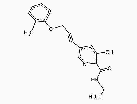 Cc1ccccc1OCC#Cc1cnc(C(=O)NCC(=O)O)c(O)c1